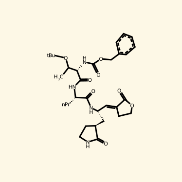 CCC[C@H](NC(=O)[C@@H](NC(=O)OCc1ccccc1)C(C)OC(C)(C)C)C(=O)N[C@H](/C=C1\CCOC1=O)C[C@@H]1CCNC1=O